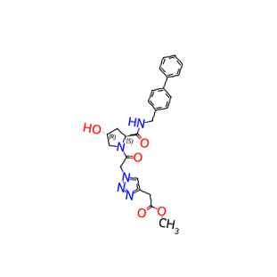 COC(=O)Cc1cn(CC(=O)N2C[C@H](O)C[C@H]2C(=O)NCc2ccc(-c3ccccc3)cc2)nn1